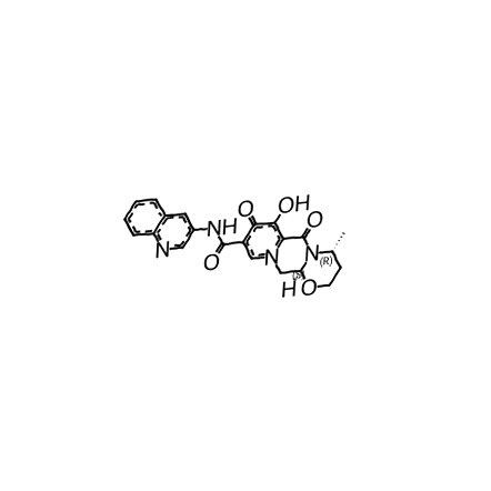 C[C@@H]1CCO[C@H]2Cn3cc(C(=O)Nc4cnc5ccccc5c4)c(=O)c(O)c3C(=O)N12